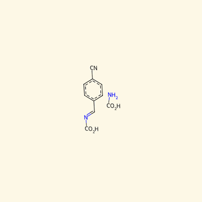 N#Cc1ccc(C=NC(=O)O)cc1.NC(=O)O